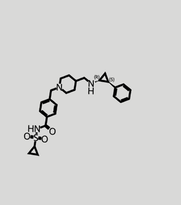 O=C(NS(=O)(=O)C1CC1)c1ccc(CN2CCC(CN[C@@H]3C[C@H]3c3ccccc3)CC2)cc1